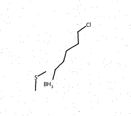 B.CCCCCCCl.CSC